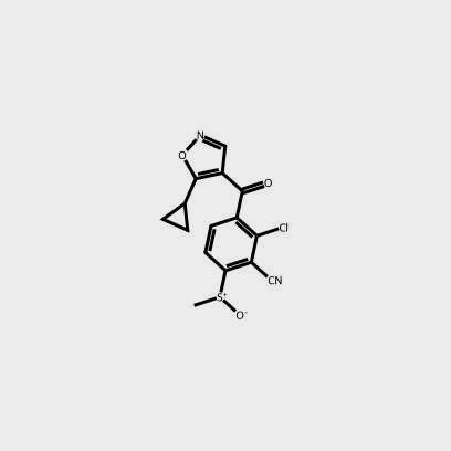 C[S+]([O-])c1ccc(C(=O)c2cnoc2C2CC2)c(Cl)c1C#N